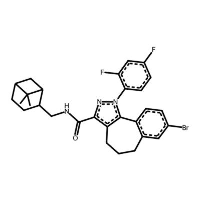 CC1(C)C2CCC(CNC(=O)c3nn(-c4ccc(F)cc4F)c4c3CCCc3cc(Br)ccc3-4)C1C2